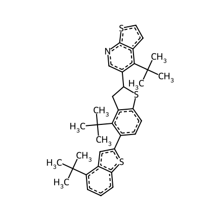 CC(C)(C)c1c(-c2cc3c(C(C)(C)C)cccc3s2)ccc2c1CC(c1cnc3sccc3c1C(C)(C)C)S2